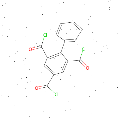 O=C(Cl)c1cc(C(=O)Cl)c(-c2ccccc2)c(C(=O)Cl)c1